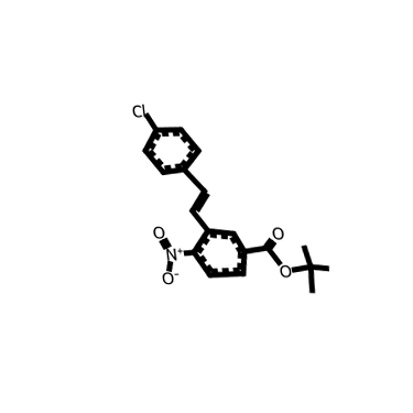 CC(C)(C)OC(=O)c1ccc([N+](=O)[O-])c(/C=C/c2ccc(Cl)cc2)c1